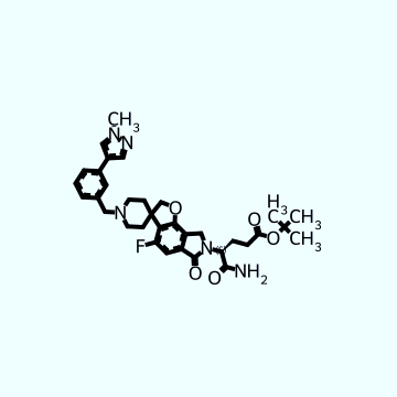 Cn1cc(-c2cccc(CN3CCC4(CC3)COc3c5c(cc(F)c34)C(=O)N([C@@H](CCC(=O)OC(C)(C)C)C(N)=O)C5)c2)cn1